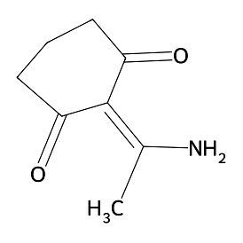 CC(N)=C1C(=O)CCCC1=O